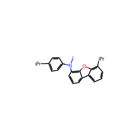 CC(C)c1ccc(N(I)c2cccc3c2oc2c(C(C)C)cccc23)cc1